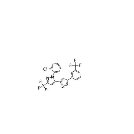 FC(F)(F)c1cccc(-c2csc(-c3cc(C(F)(F)F)nn3-c3ccccc3Cl)c2)c1